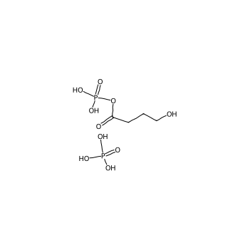 O=C(CCCO)OP(=O)(O)O.O=P(O)(O)O